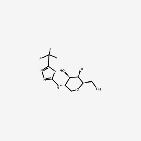 OC[C@H]1OC[C@H](Nc2nnc(C(F)(F)F)s2)[C@@H](O)[C@H]1O